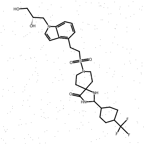 O=C1NC(C2CCC(C(F)(F)F)CC2)NC12CCN(S(=O)(=O)CCc1cccc3c1ccn3C[C@H](O)CO)CC2